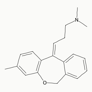 Cc1ccc2c(c1)OCc1ccccc1/C2=C\CCN(C)C